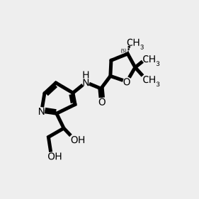 C[C@H]1CC(C(=O)Nc2ccnc(C(O)CO)c2)OC1(C)C